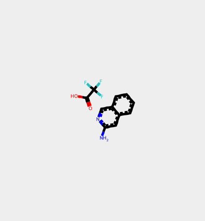 Nc1cc2ccccc2cn1.O=C(O)C(F)(F)F